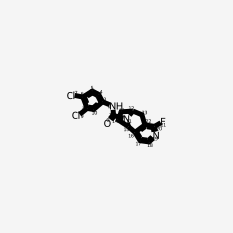 O=C(Nc1ccc(Cl)c(Cl)c1)N1C2CCC1c1ccnc(F)c1C2